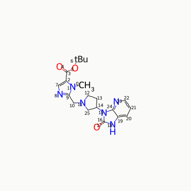 Cn1c(C(=O)OC(C)(C)C)cnc1CN1CCC(n2c(=O)[nH]c3cccnc32)C1